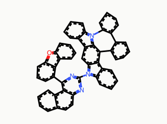 c1ccc2c(c1)-c1ccccc1-n1c3ccccc3c3cc4c(c-2c31)c1ccccc1n4-c1nc(-c2cccc3oc4ccccc4c23)c2c(ccc3ccccc32)n1